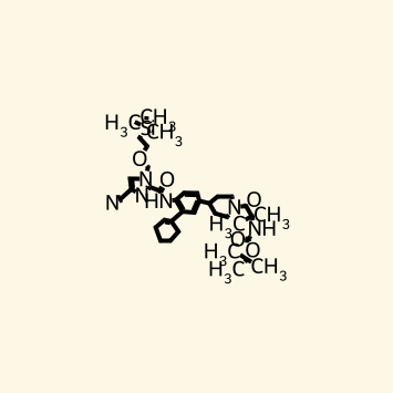 CC(C)(C)OC(=O)NC(C)(C)C(=O)N1CCC(c2ccc(NC(=O)c3nc(C#N)cn3COCC[Si](C)(C)C)c(C3=CCCCC3)c2)CC1